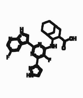 O=C(O)C1CC2CCCC(C2)C1Nc1nc(-c2c[nH]c3ncc(F)cc23)nc(-c2cc[nH]n2)c1F